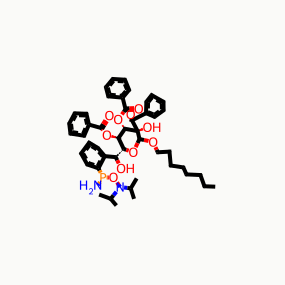 CCCCCCCCOC1O[C@H](C(O)c2ccccc2P(N)ON(C(C)C)C(C)C)[C@@H](OC(=O)c2ccccc2)[C@H](OC(=O)c2ccccc2)[C@]1(O)C(=O)c1ccccc1